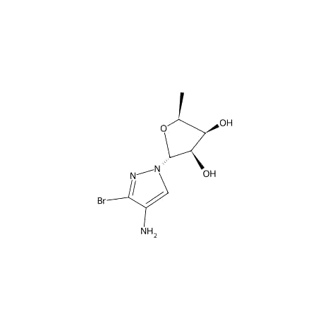 C[C@@H]1O[C@@H](n2cc(N)c(Br)n2)[C@H](O)[C@@H]1O